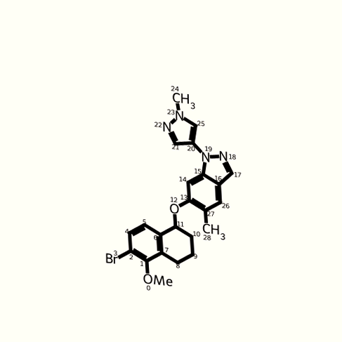 COc1c(Br)ccc2c1CCCC2Oc1cc2c(cnn2-c2cnn(C)c2)cc1C